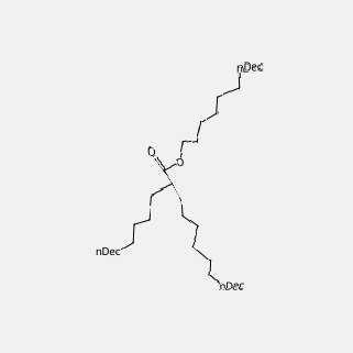 CCCCCCCCCCCCCCCCOC(=O)C(CCCCCCCCCCCCCC)CCCCCCCCCCCCCCCC